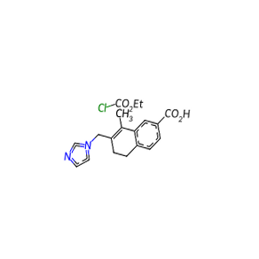 CC1=C(Cn2ccnc2)CCc2ccc(C(=O)O)cc21.CCOC(=O)Cl